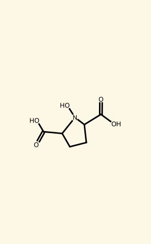 O=C(O)C1CCC(C(=O)O)N1O